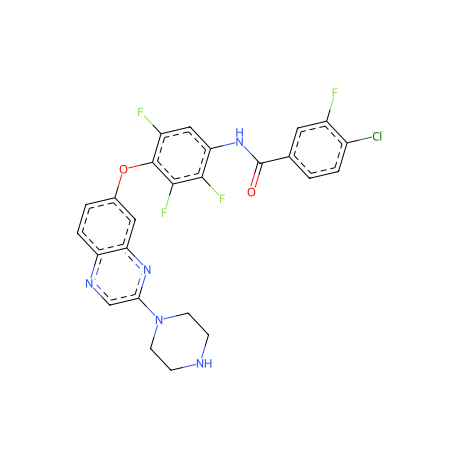 O=C(Nc1cc(F)c(Oc2ccc3ncc(N4CCNCC4)nc3c2)c(F)c1F)c1ccc(Cl)c(F)c1